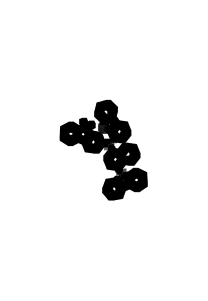 CC1(C)c2ccccc2-c2ccc(N(c3ccc(-n4c5ccccc5c5ccccc54)c4ccccc34)c3cccc4c3oc3ccccc34)cc21